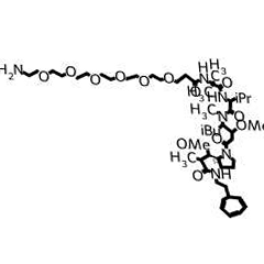 CCC(C)C(C(CC(=O)N1CCC[C@H]1C(OC)C(C)C(=O)NCCC1C=CC=CC=C1)OC)N(C)C(=O)C(NC(=O)C(C)(C)NC(=O)CCOCCOCCOCCOCCOCCOCCN)C(C)C